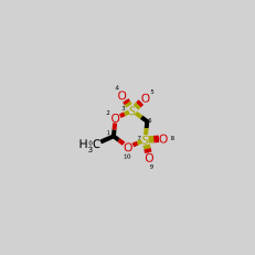 CC1OS(=O)(=O)CS(=O)(=O)O1